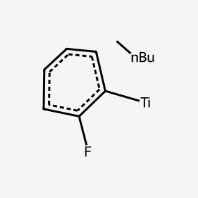 CCCCC.Fc1cccc[c]1[Ti]